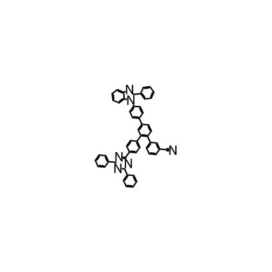 N#Cc1cccc(-c2ccc(-c3ccc(-n4c(-c5ccccc5)nc5ccccc54)cc3)cc2-c2ccc(-c3nc(-c4ccccc4)nc(-c4ccccc4)n3)cc2)c1